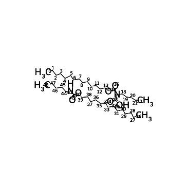 CCCCCCCCCCCCCCOC(=O)N(CCCCC)C(=O)O.CCCCCCCCCCCCCCOC(=O)NCCCCC